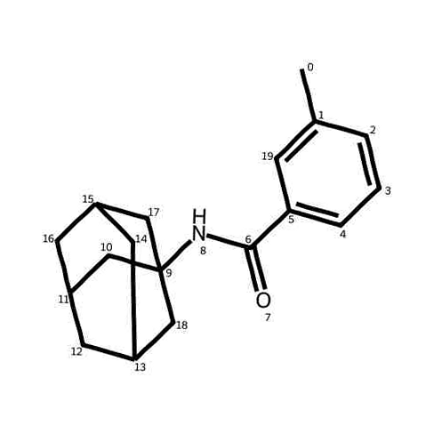 Cc1cccc(C(=O)NC23CC4CC(CC(C4)C2)C3)c1